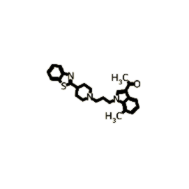 CC(=O)c1cn(CCCN2CCC(c3nc4ccccc4s3)CC2)c2c(C)cccc12